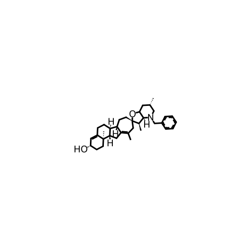 CC1=C2C[C@H]3[C@@H](CCC4=C[C@@H](O)CC[C@@]43C)[C@@H]2CC[C@@]2(C1)OC1C[C@H](C)CN(Cc3ccccc3)[C@H]1[C@H]2C